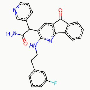 NC(=O)C(c1cccnc1)c1cc2c(nc1NCCc1cccc(F)c1)-c1ccccc1C2=O